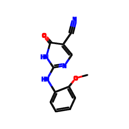 COc1ccccc1Nc1ncc(C#N)c(=O)[nH]1